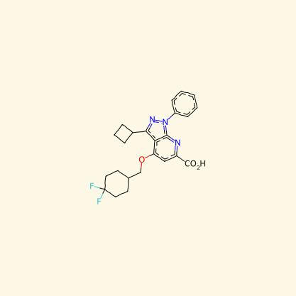 O=C(O)c1cc(OCC2CCC(F)(F)CC2)c2c(C3CCC3)nn(-c3ccccc3)c2n1